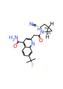 CC(C)(F)c1ccc2c(C(N)=O)cc(CC(=O)N3[C@H](C#N)C[C@@H]4C[C@@H]43)nc2c1